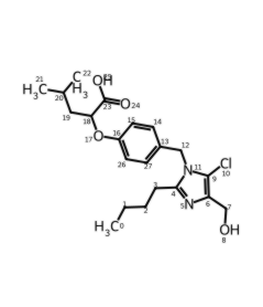 CCCCc1nc(CO)c(Cl)n1Cc1ccc(OC(CC(C)C)C(=O)O)cc1